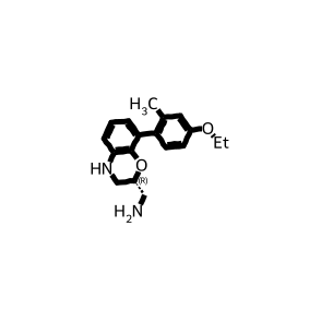 CCOc1ccc(-c2cccc3c2O[C@H](CN)CN3)c(C)c1